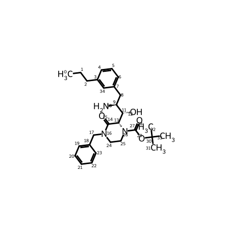 CCCc1cccc(C[C@H](N)[C@H](O)[C@H]2C(=O)N(Cc3ccccc3)CCN2C(=O)OC(C)(C)C)c1